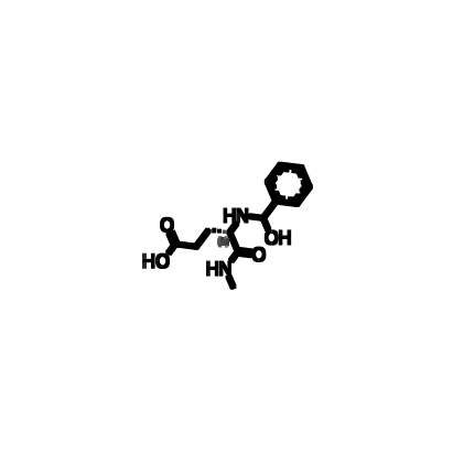 CNC(=O)[C@H](CCC(=O)O)NC(O)c1ccccc1